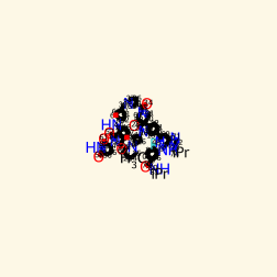 Cc1cc(F)c(Nc2nc(-c3ccc4c(c3)N([C@H]3C[C@@H](N5CCCCC5)C3)C(=O)C43CCN(C(=O)[C@H]4CCN(CC5CCC(Nc6cccc7c6C(=O)N(C6CCC(=O)NC6=O)C7=O)CC5)C4)CC3)cc3ncn(C(C)C)c23)cc1C(=O)NC(C)C